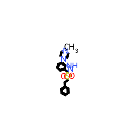 CN1CCN(c2cccc3c(S(=O)(=O)CCc4ccccc4)n[nH]c23)CC1